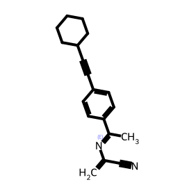 C=C(C#N)/N=C(\C)c1ccc(C#CC2CCCCC2)cc1